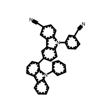 N#Cc1cccc(-n2c3ccc(C#N)cc3c3cc(-c4cccc5c6ccccc6n(-c6ccccc6)c45)ccc32)c1